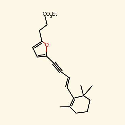 CCOC(=O)CCc1ccc(C#CC=CC2=C(C)CCCC2(C)C)o1